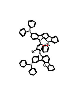 N#Cc1cc(-n2c3ccc(N(c4ccccc4)c4ccccc4)cc3c3ccc4c5ccccc5n(-c5ccccc5)c4c32)c(C#N)cc1-n1c2ccc(N(c3ccccc3)c3ccccc3)cc2c2c3oc4ccccc4c3ccc21